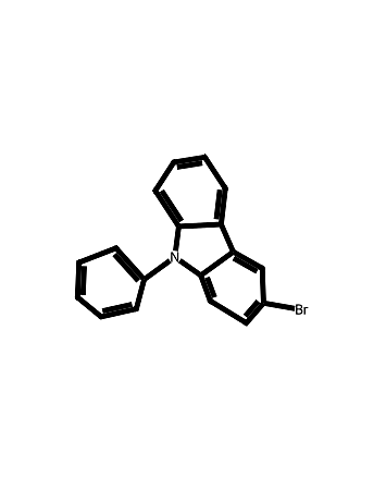 Brc1ccc2c(c1)c1c[c]ccc1n2-c1ccccc1